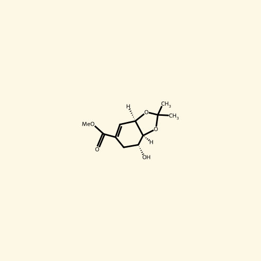 COC(=O)C1=C[C@H]2OC(C)(C)O[C@H]2[C@H](O)C1